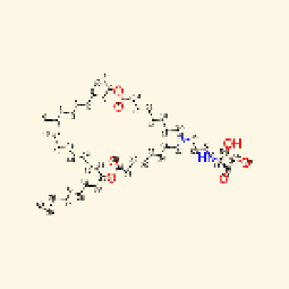 CCCCCCCCC(CC)OC(=O)CCCCCCCN(CCCCCCCC(=O)OC(CCCCCCCC)CCCCCCCC)CCCNc1c(O)c(=O)c1=O